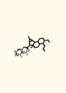 CCCC1C(CC)CCC2C1CCC1(C)C(C(=O)CN(N)/C=N\N)C3C(C)C3C21